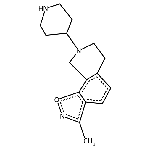 Cc1noc2c3c(ccc12)CCN(C1CCNCC1)C3